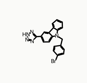 Brc1ccc(Cn2c3ccccc3c3cc(-c4nn[nH]n4)ccc32)cc1